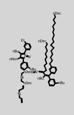 C=C[CH2][Ni][CH2]C=C.CCCCCCCCCC1=C(c2cccc(CCCC)c2)[N+](=[N-])C(c2cccc(CC)c2)=C1CCCC.CCCCCCCCCCCCCCCCCCCCCCCCCCc1cccc(C(=C(CCCC)C(=C=[N+]=[N-])CCCCCCCCCCCCCCCCCCC)c2cccc(CCCC)c2)c1.CCCCCCCCCC[CH2][Ni][CH2]CCCCCCCCCC